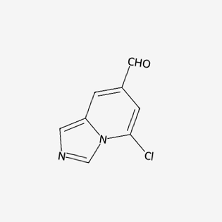 O=Cc1cc(Cl)n2cncc2c1